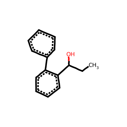 CCC(O)c1ccccc1-c1ccccc1